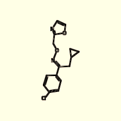 Clc1ccc(C(CC2CC2)=NOCc2ncco2)cc1